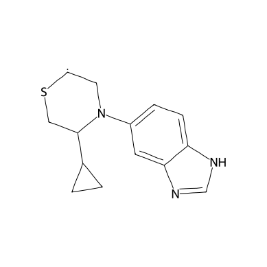 [CH]1CN(c2ccc3[nH]cnc3c2)C(C2CC2)CS1